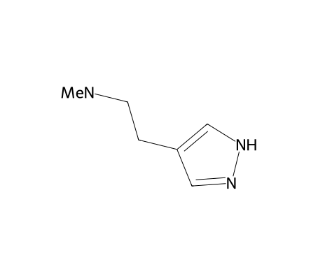 CNCCc1cn[nH]c1